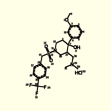 COc1cccc(C2(O)CCN(S(=O)(=O)Cc3ccc(C(F)(F)F)cc3)CC2CN(C)C)c1.Cl